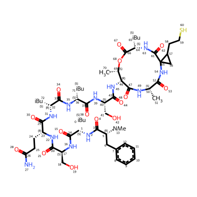 CC[C@H](C)[C@H](NC(=O)[C@@H](Cc1ccccc1)NC)C(=O)N[C@@H](CO)C(=O)N[C@H](CCC(N)=O)C(=O)N[C@@H](C(=O)N[C@H](C(=O)N[C@@H](CO)C(=O)N[C@H]1C(=O)N[C@@H](C)C(=O)NC2(CC2CCS)C(=O)N[C@@H]([C@@H](C)CC)C(=O)O[C@H]1C)[C@@H](C)CC)[C@@H](C)CC